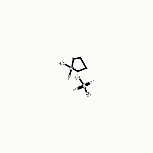 CC[N+]1(C)CCCC1.NS(=O)(=O)C(F)(F)F